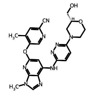 Cc1cc(C#N)ncc1Oc1cc(Nc2ccc(N3CCO[C@@H](CO)C3)nn2)c2ncn(C)c2n1